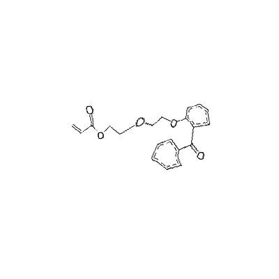 C=CC(=O)OCCOCCOc1ccccc1C(=O)c1ccccc1